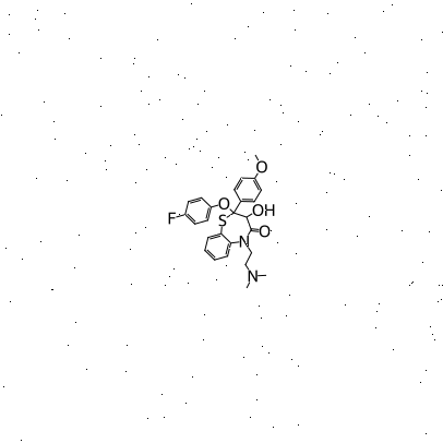 COc1ccc(C2(Oc3ccc(F)cc3)Sc3ccccc3N(CCN(C)C)C(=O)C2O)cc1